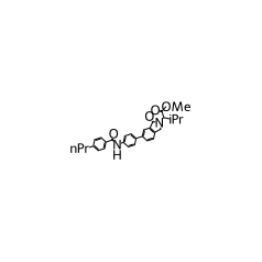 CCCc1ccc(C(=O)Nc2ccc(-c3ccc4c(c3)C(=O)N(C(C(=O)OC)C(C)C)C4)cc2)cc1